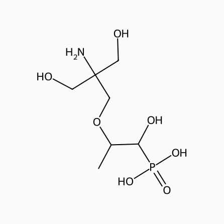 CC(OCC(N)(CO)CO)C(O)P(=O)(O)O